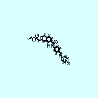 CCOC(=O)CN1CCc2ccc(C(=O)Nc3ccc(C=NN4CCN(C)CC4)cc3)cc2C1